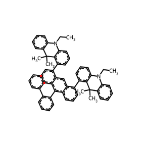 CCN1c2ccccc2C(C)(C)c2c(-c3cccc4c(-c5ccccc5-c5ccccc5)c5cccc(-c6cccc7c6C(C)(C)c6ccccc6N7CC)c5cc34)cccc21